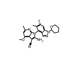 COc1cc(C)nc2c1c(C#N)c(N)n2-c1c(C)c(F)cc2c1cnn2C1CCCCO1